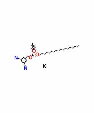 CCCCCCCCCCCCCCCCCCOC[C@H](CO[Si](C)(C)C(C)(C)C)OCc1cc(C#N)cc(C#N)c1.[K]